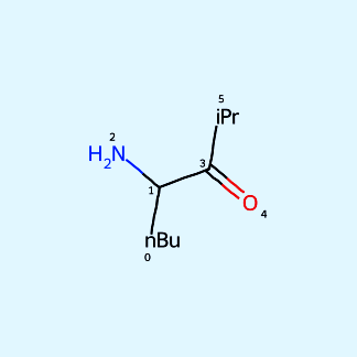 CCCCC(N)C(=O)C(C)C